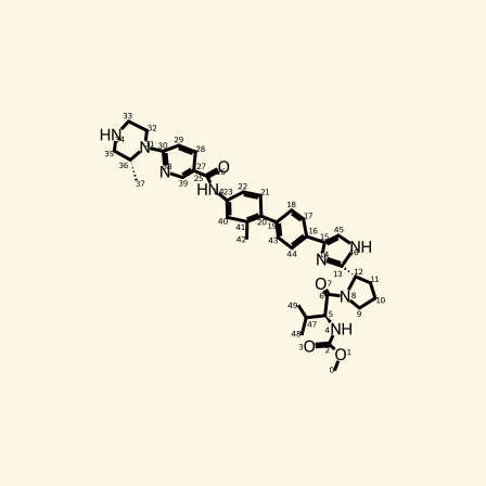 COC(=O)N[C@H](C(=O)N1CCC[C@H]1c1nc(-c2ccc(-c3ccc(NC(=O)c4ccc(N5CCNC[C@H]5C)nc4)cc3C)cc2)c[nH]1)C(C)C